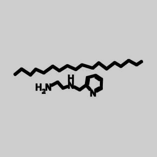 CCCCCCCCCCCCCCCCCC.NCCNCc1ccccn1